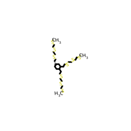 CSCCSCCSCCC1CC[C@H](CCSCCSCCSC)CC1CCSCCSCCSC